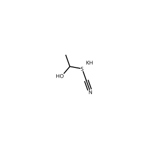 CC(O)SC#N.[KH]